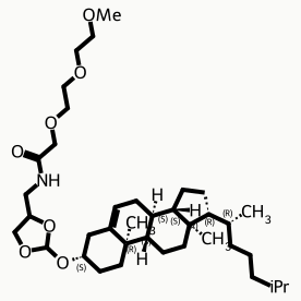 COCCOCCOCC(=O)NCC1COC(O[C@H]2CC[C@@]3(C)C(=CC[C@H]4[C@@H]5CC[C@H]([C@H](C)CCCC(C)C)[C@@]5(C)CC[C@@H]43)C2)O1